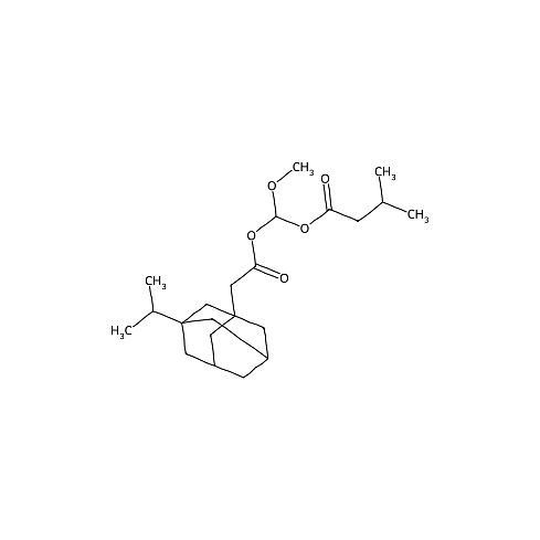 COC(OC(=O)CC(C)C)OC(=O)CC12CC3CC(C1)CC(C(C)C)(C3)C2